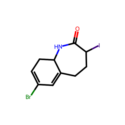 O=C1NC2CC=C(Br)C=C2CCC1I